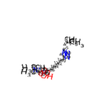 CCC(C)CCCn1cc(CCCCCCCCOP(=O)(O)OCC[N+](C)(C)C)nn1